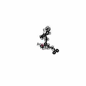 CC[C@@]1(O)C(=O)OCc2c1cc1n(c2=O)Cc2c-1nc1cc3c(cc1c2CNC(=O)OCc1ccc(O[C@@H]2OC(C(C)=O)[C@@H](C)[C@H](C)C2OC(C)=O)c(NC(=O)CCNC(=O)OCC2c4ccccc4-c4ccccc42)c1)OCO3